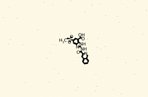 CCS(=O)(=O)c1cc(C(=O)O)c2[nH]c(NC(=O)c3cc4ccccc4cn3)nc2c1